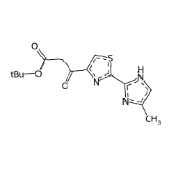 Cc1c[nH]c(-c2nc(C(=O)CC(=O)OC(C)(C)C)cs2)n1